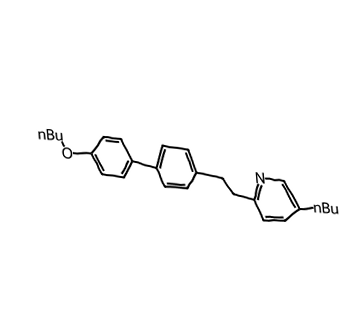 CCCCOc1ccc(-c2ccc(CCc3ccc(CCCC)cn3)cc2)cc1